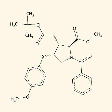 COC(=O)[C@@H]1[C@@H](CC(=O)OC(C)(C)C)[C@@H](Sc2ccc(OC)cc2)CN1C(=O)c1ccccc1